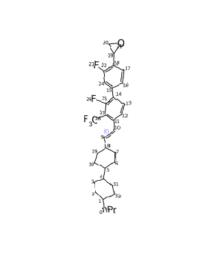 CCCC1CCC(C2CCC(/C=C/c3ccc(-c4ccc(C5CO5)c(F)c4)c(F)c3C(F)(F)F)CC2)CC1